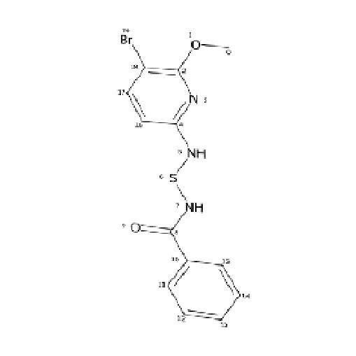 COc1nc(NSNC(=O)c2ccccc2)ccc1Br